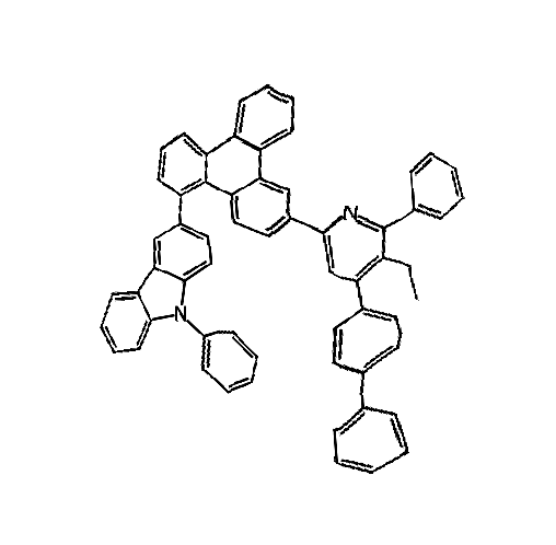 CCc1c(-c2ccc(-c3ccccc3)cc2)cc(-c2ccc3c(c2)c2ccccc2c2cccc(-c4ccc5c(c4)c4ccccc4n5-c4ccccc4)c23)nc1-c1ccccc1